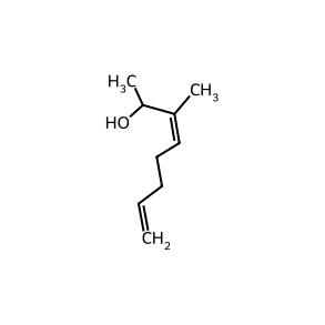 C=CCCC=C(C)C(C)O